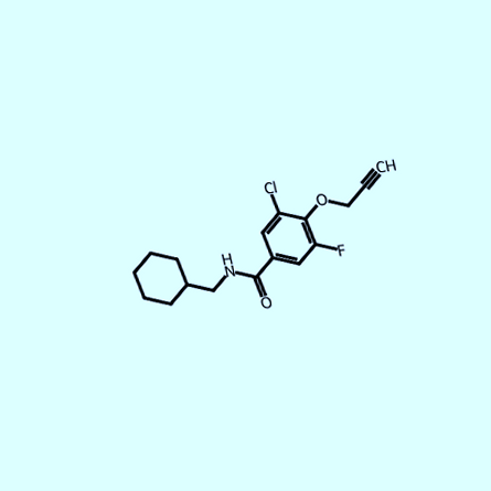 C#CCOc1c(F)cc(C(=O)NCC2CCCCC2)cc1Cl